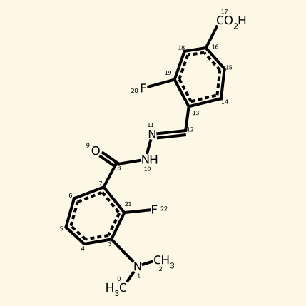 CN(C)c1cccc(C(=O)NN=Cc2ccc(C(=O)O)cc2F)c1F